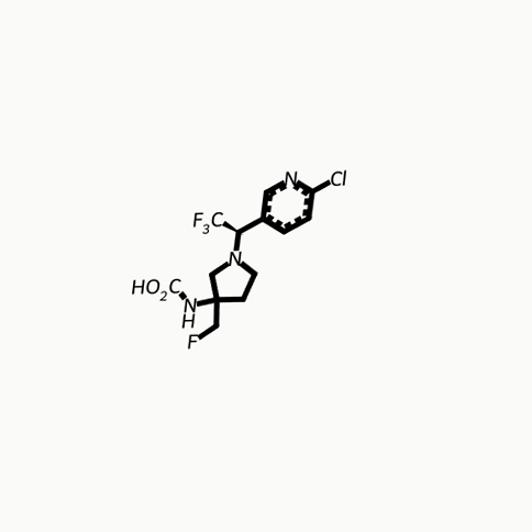 O=C(O)NC1(CF)CCN([C@H](c2ccc(Cl)nc2)C(F)(F)F)C1